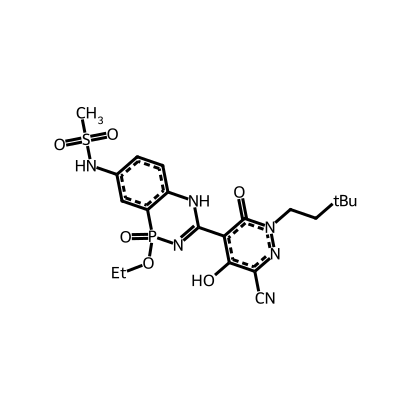 CCOP1(=O)N=C(c2c(O)c(C#N)nn(CCC(C)(C)C)c2=O)Nc2ccc(NS(C)(=O)=O)cc21